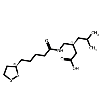 CC(C)C[C@H](CNC(=O)CCCC[C@@H]1CCSS1)CC(=O)O